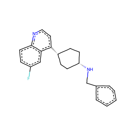 Fc1ccc2nccc([C@H]3CC[C@@H](NCc4ccccc4)CC3)c2c1